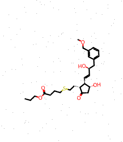 CCCOC(=O)CCCSCC[C@H]1C(=O)C[C@@H](O)[C@@H]1/C=C/[C@@H](O)Cc1cccc(COC)c1